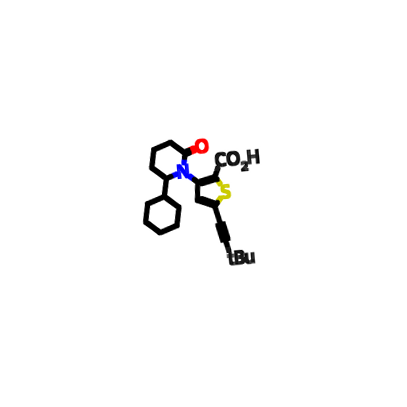 CC(C)(C)C#Cc1cc(N2C(=O)CCCC2C2CCCCC2)c(C(=O)O)s1